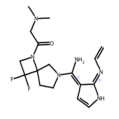 C=C/N=C1/NC=C/C1=C(/N)N1CCC2(C1)N(C(=O)CN(C)C)CC2(F)F